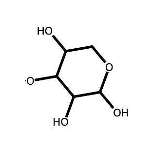 [O]C1C(O)COC(O)C1O